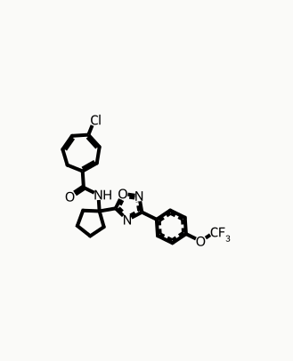 O=C(NC1(c2nc(-c3ccc(OC(F)(F)F)cc3)no2)CCCC1)C1=CC=C(Cl)C=CC1